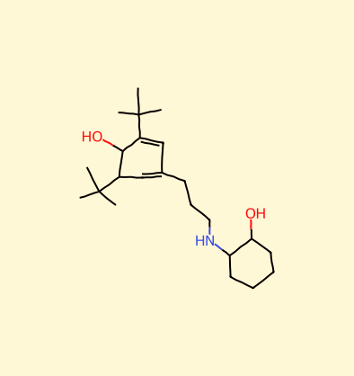 CC(C)(C)C1=CC(CCCNC2CCCCC2O)=CC(C(C)(C)C)C1O